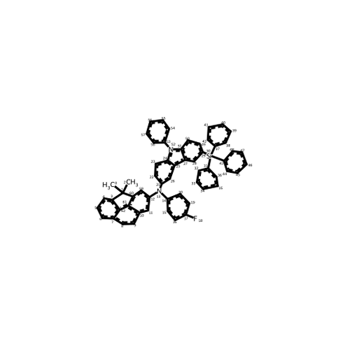 CC1(C)c2cccc3ccc4cc(N(c5ccc(F)cc5)c5ccc6c(c5)c5cc([Si](c7ccccc7)(c7ccccc7)c7ccccc7)ccc5n6-c5ccccc5)cc1c4c23